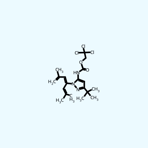 C=C(C)/C=C(\C=C(C)C)n1nc(C(C)(C)C)cc1NC(=O)OCC(Cl)(Cl)Cl